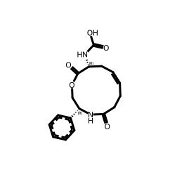 O=C(O)N[C@@H]1CC=CCCC(=O)N[C@H](c2ccccc2)COC1=O